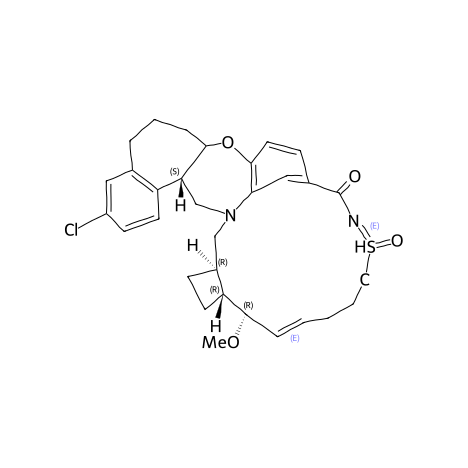 CO[C@H]1/C=C/CCC/[SH](=O)=N\C(=O)c2ccc3c(c2)N(C[C@@H]2CC[C@H]21)C[C@@H]1c2ccc(Cl)cc2CCCC1O3